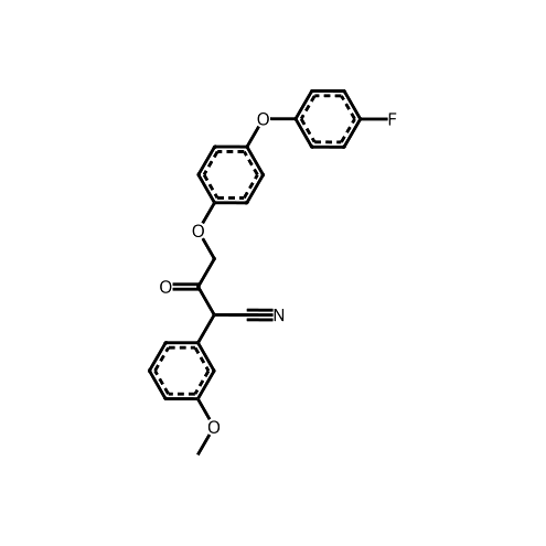 COc1cccc(C(C#N)C(=O)COc2ccc(Oc3ccc(F)cc3)cc2)c1